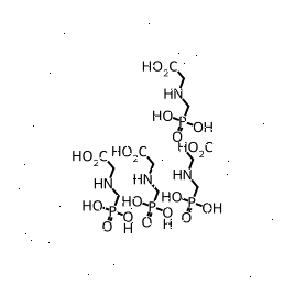 O=C(O)CNCP(=O)(O)O.O=C(O)CNCP(=O)(O)O.O=C(O)CNCP(=O)(O)O.O=C(O)CNCP(=O)(O)O